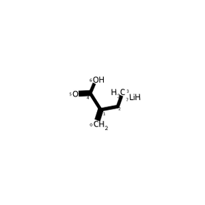 C=C(CC)C(=O)O.[LiH]